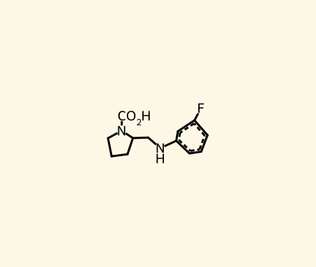 O=C(O)N1CCCC1CNc1cccc(F)c1